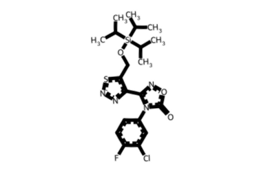 CC(C)[Si](OCc1snnc1-c1noc(=O)n1-c1ccc(F)c(Cl)c1)(C(C)C)C(C)C